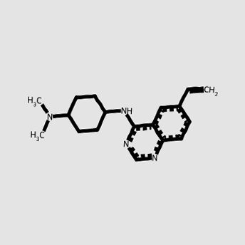 C=Cc1ccc2ncnc(NC3CCC(N(C)C)CC3)c2c1